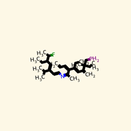 C=C/C=C(C(\C)=N/C=C/C(=C/C(CC)C(C)F)C(C)C)/C(=C/C(=C)C(C)(CC)CP)CC